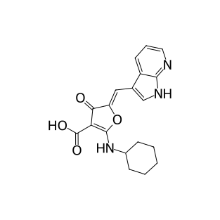 O=C(O)C1=C(NC2CCCCC2)OC(=Cc2c[nH]c3ncccc23)C1=O